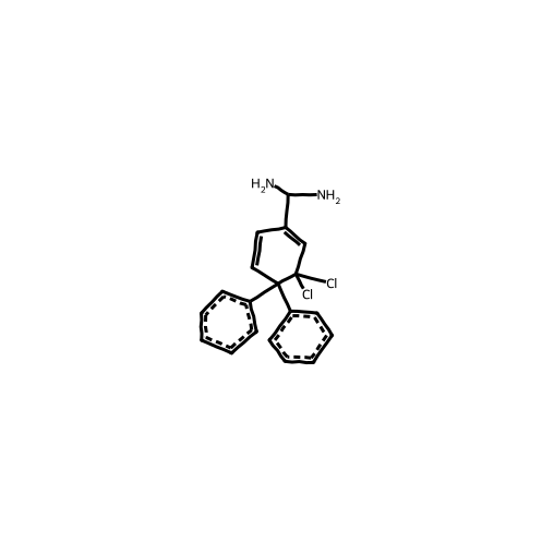 NC(N)C1=CC(Cl)(Cl)C(c2ccccc2)(c2ccccc2)C=C1